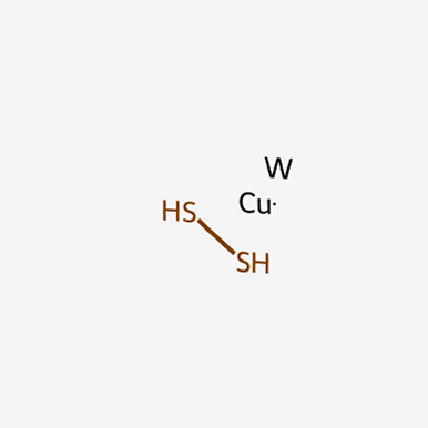 SS.[Cu].[W]